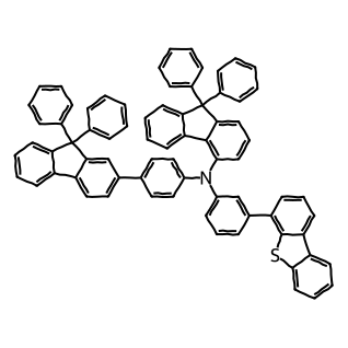 c1ccc(C2(c3ccccc3)c3ccccc3-c3ccc(-c4ccc(N(c5cccc(-c6cccc7c6sc6ccccc67)c5)c5cccc6c5-c5ccccc5C6(c5ccccc5)c5ccccc5)cc4)cc32)cc1